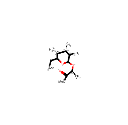 COC(=O)[C@H](C)OC1OC(COC(C)=O)[C@H](C)[C@H](C)C1C